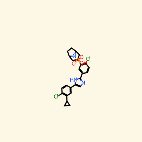 O=S(=O)(c1cc(-c2ncc(-c3ccc(Cl)c(C4CC4)c3)[nH]2)ccc1Cl)N1C2CCC1CC(O)C2